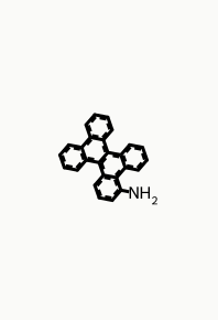 Nc1cccc2c1c1ccccc1c1c3ccccc3c3ccccc3c21